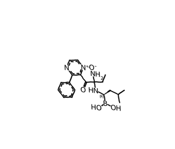 CCC(N)(N[C@@H](CC(C)C)B(O)O)C(=O)c1c(-c2ccccc2)ncc[n+]1[O-]